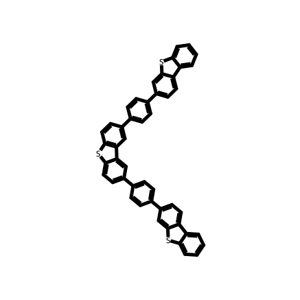 c1ccc2c(c1)sc1cc(-c3ccc(-c4ccc5sc6ccc(-c7ccc(-c8ccc9c(c8)sc8ccccc89)cc7)cc6c5c4)cc3)ccc12